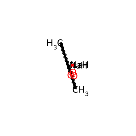 CCCCCCCCCCCCCCCCCC(=O)OC(=O)CCCCCCC.[NaH].[NaH]